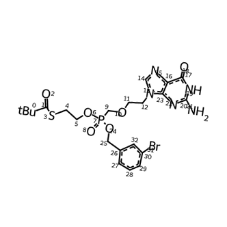 CC(C)(C)C(=O)SCCOP(=O)(COCCn1cnc2c(=O)[nH]c(N)nc21)OCc1cccc(Br)c1